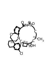 C[C@H]1CCCS(=O)(=O)NC(=O)c2ccc3c(c2)N(C[C@@H]2CC[C@H]2[C@@H](O)C1)C[C@@]1(CCCc2cc(Cl)ccc21)CO3